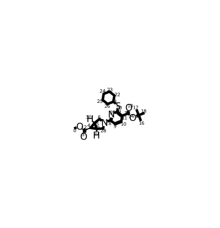 COC(=O)[C@H]1[C@@H]2CN(c3ccc(C(=O)OC(C)(C)C)c(SC4CCCCC4)n3)C[C@@H]21